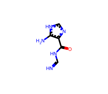 N=CNC(=O)c1nc[nH]c1N